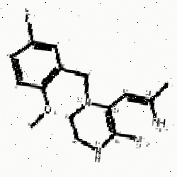 COc1ccc(F)cc1CN1CCNC(N)=C1/C=C(/C)N